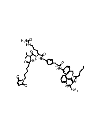 CCCCc1nc2c(N)nc3ccccc3c2n1Cc1ccc(NC(=O)OCc2ccc(NC(=O)C(CCCNC(N)=O)NC(=O)C(NC(=O)CCCCCN3C(=O)C=CC3=O)C(C)C)cc2)cc1